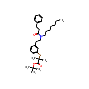 CCCCCCCN(CCc1cccc(SC(C)(C)C(=O)OC(C)(C)C)c1)C(=O)CCc1ccccc1